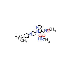 CNC(=O)Oc1c(C=NOC)c2cccnc2n1C1CCN(C2CCC(C(C)C)CC2)CC1